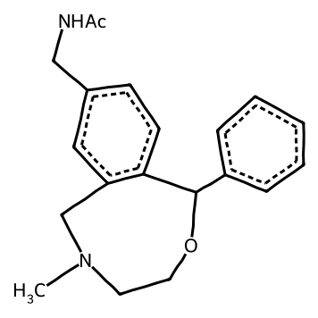 CC(=O)NCc1ccc2c(c1)CN(C)CCOC2c1ccccc1